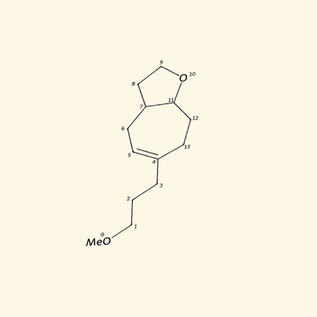 COCCCC1=CCC2CCOC2CC1